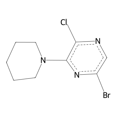 Clc1ncc(Br)nc1N1CCCCC1